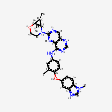 Cc1cc(Nc2ncnc3cnc(N4CCO[C@H]5[C@@H](C)[C@H]54)nc23)ccc1Oc1ccc2c(c1)ncn2C